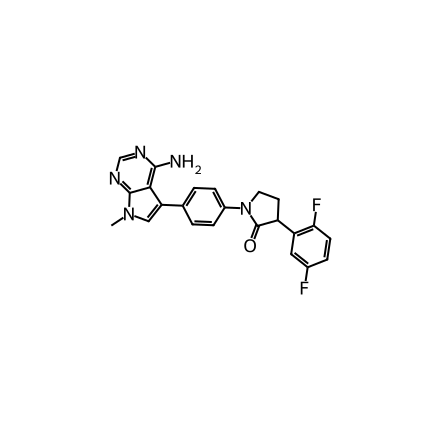 Cn1cc(-c2ccc(N3CCC(c4cc(F)ccc4F)C3=O)cc2)c2c(N)ncnc21